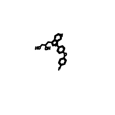 OCC(O)Cc1cn(-c2ccc(Oc3ccc(F)cc3)cc2)c2cnccc12